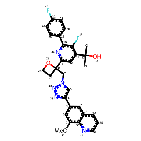 COc1cc(-c2cn(CC3(c4cc(C(C)(C)O)c(F)c(-c5ccc(F)cc5)n4)CCO3)nn2)cc2cccnc12